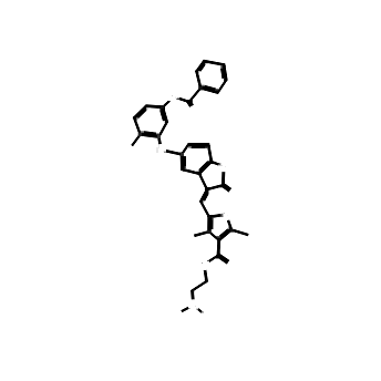 CCN(CC)CCNC(=O)c1c(C)[nH]c(C=C2C(=O)Nc3ccc(Nc4cc(NC(=O)c5ccccc5)ccc4C)cc32)c1C